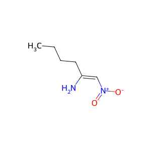 CCCCC(N)=C[N+](=O)[O-]